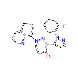 O=c1ccn(-c2cccc3cccnc23)nc1-c1ccnn1-c1ccccc1F